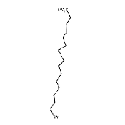 CCOC(=O)CCCCCCCCCCCCCCC(C)C